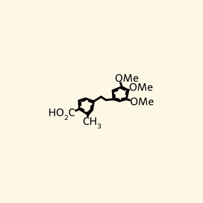 COc1cc(CCc2ccc(C(=O)O)c(C)c2)cc(OC)c1OC